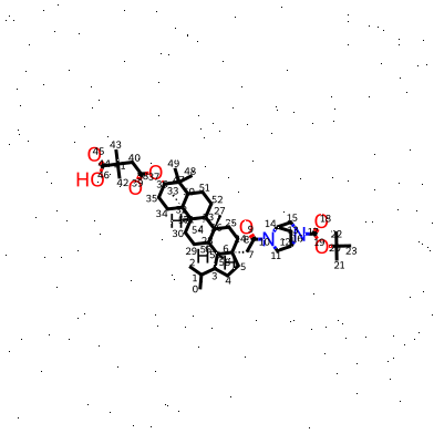 CC(C)C1CC[C@]2(CC(=O)N3CC4CC3CN4C(=O)OC(C)(C)C)CC[C@]3(C)[C@H](CC[C@@H]4[C@@]5(C)CC[C@H](OC(=O)CC(C)(C)C(=O)O)C(C)(C)C5CC[C@]43C)[C@@H]12